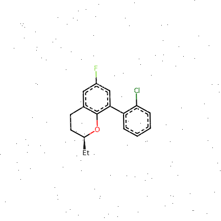 CC[C@H]1CCc2cc(F)cc(-c3ccccc3Cl)c2O1